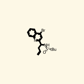 C=CCC(N[S@@+]([O-])C(C)(C)C)c1cc(Br)c2ccccc2n1